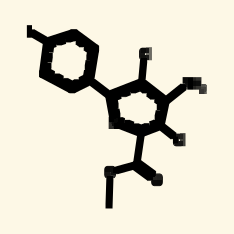 COC(=O)c1nc(-c2ccc(I)cc2)c(Cl)c(N)c1Cl